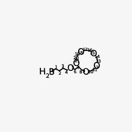 BCCCCOCC1COCCOCCOCCOCCO1